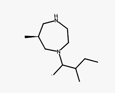 [CH2]C(C(C)CC)N1CCNC[C@H](C)C1